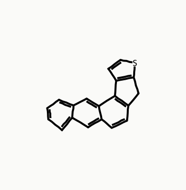 c1ccc2cc3c4c(ccc3cc2c1)Cc1sccc1-4